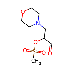 CS(=O)(=O)OC(C=O)CN1CCOCC1